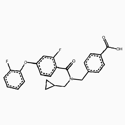 O=C(O)c1ccc(CN(CC2CC2)C(=O)c2ccc(Oc3ccccc3F)cc2F)cc1